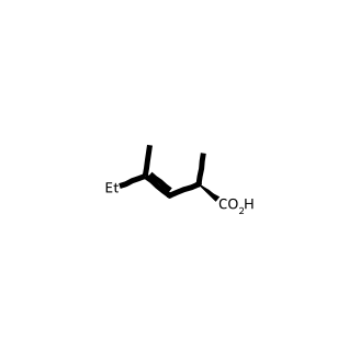 CC/C(C)=C/[C@@H](C)C(=O)O